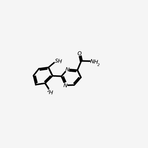 [2H]c1cccc(S)c1-c1nccc(C(N)=O)n1